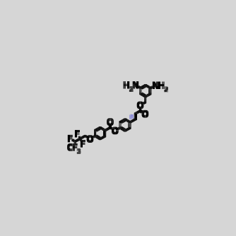 Nc1cc(N)cc(COC(=O)/C=C/c2ccc(OC(=O)c3ccc(OCC(F)(F)C(F)C(F)(F)F)cc3)cc2)c1